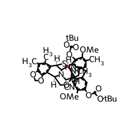 COc1cc2c(cc1OC(=O)OC(C)(C)C)CCN[C@]21CS[C@@H]2c3c(C)c(C)c4c(c3[C@H](COC1=O)N1C2[C@H]2c3c(cc(C)c(OC)c3OC(=O)OC(C)(C)C)C[C@H]([C@@H]1C#N)N2C)OCO4